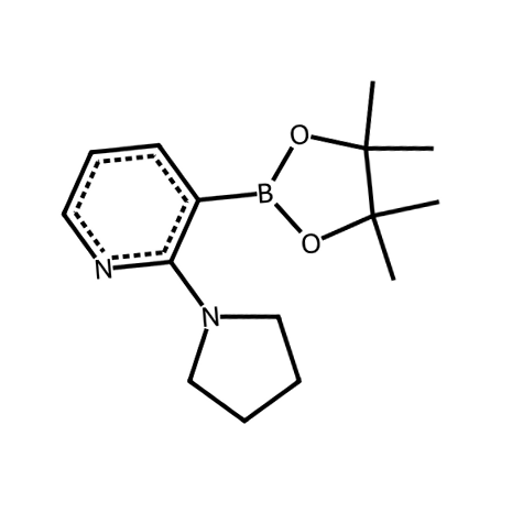 CC1(C)OB(c2cccnc2N2CCCC2)OC1(C)C